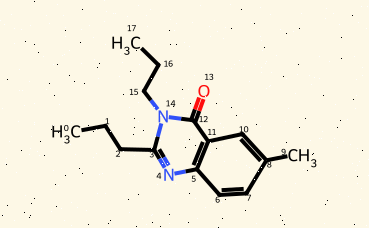 CCCc1nc2ccc(C)cc2c(=O)n1CCC